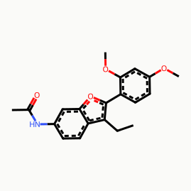 CCc1c(-c2ccc(OC)cc2OC)oc2cc(NC(C)=O)ccc12